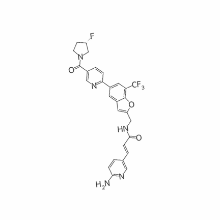 Nc1ccc(/C=C/C(=O)NCc2cc3cc(-c4ccc(C(=O)N5CC[C@H](F)C5)cn4)cc(C(F)(F)F)c3o2)cn1